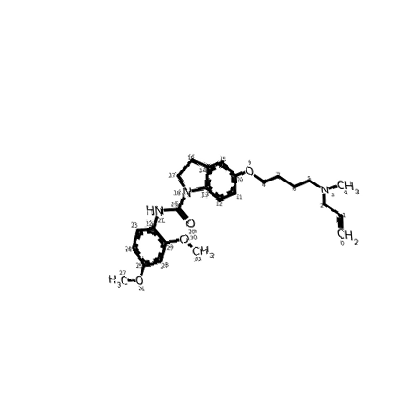 C=CCN(C)CCCCOc1ccc2c(c1)CCN2C(=O)Nc1ccc(OC)cc1OC